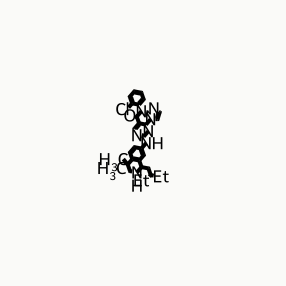 CCC(CC)CC1NCC(C)(C)c2ccc(Nc3ncc4c(=O)n(-c5ccccc5Cl)c5nccn5c4n3)cc21